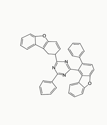 C1=CC(c2nc(-c3ccccc3)nc(-c3c(-c4ccccc4)ccc4oc5ccccc5c34)n2)Cc2c1oc1ccccc21